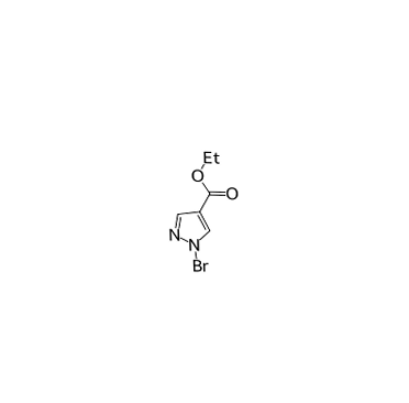 CCOC(=O)c1cnn(Br)c1